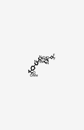 COC(=O)C1(c2ccc(-c3ccc(-c4cnn(C)c4Nc4cncc(OC5CC(F)(F)C5)n4)nc3)cc2)CC1